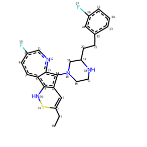 CCC1=Cc2c(c3ccc(F)cnc-3c2N2CCNC(CCc3cccc(F)c3)C2)NS1